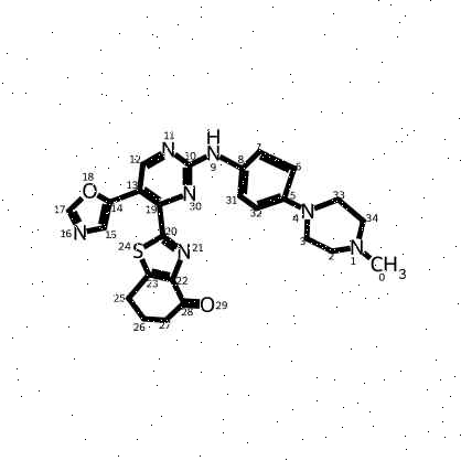 CN1CCN(c2ccc(Nc3ncc(-c4cnco4)c(-c4nc5c(s4)CCCC5=O)n3)cc2)CC1